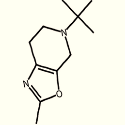 Cc1nc2c(o1)CN(C(C)(C)C)CC2